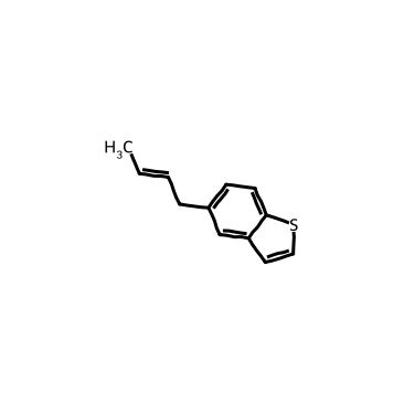 CC=CCc1ccc2sccc2c1